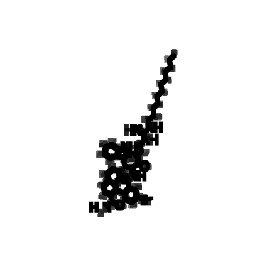 CCCCCCCCCCCCNC(=N)NCCNC(=O)C(Cc1c[nH]c2ccccc12)NC(=O)c1cc(Br)ccc1-c1c(C(N)=O)ccc2ccccc12